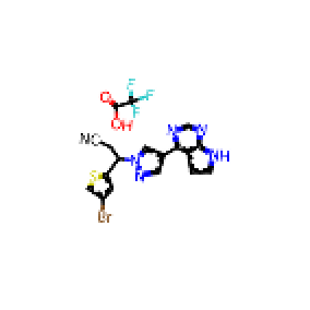 N#CCC(c1cc(Br)cs1)n1cc(-c2ncnc3[nH]ccc23)cn1.O=C(O)C(F)(F)F